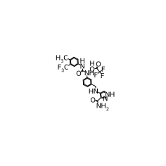 Cc1ccc(NC(=O)Nc2cccc(CNc3c[nH]nc3C(N)=O)c2)cc1C(F)(F)F.O=C(O)C(F)(F)F